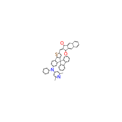 Cc1cc(N(c2ccccc2)c2ccc3c(c2)C2(c4ccccc4-c4ccccc42)c2cc(C=C4C(=O)C5=CC6C=CC=CC6C=C5C4=O)sc2-3)cc(C)n1